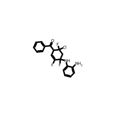 Nc1ccccc1NC1(F)CC(F)(Cl)C(C(=O)c2ccccc2)C=C1F